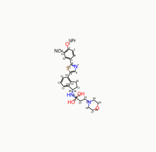 CC(C)Oc1ccc(-c2ncc(-c3cccc4c3CC[C@H]4NC(O)(O)CCN3CCOCC3)s2)cc1C#N